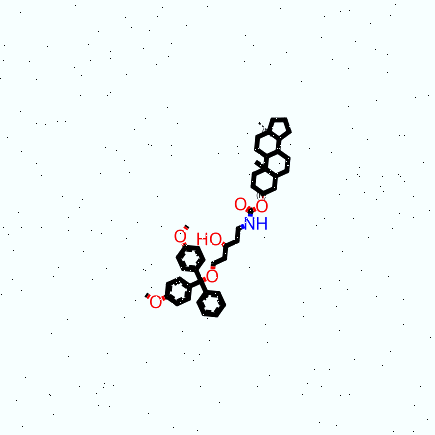 COc1ccc(C(OCCC(O)CCNC(=O)O[C@@H]2CCC3(C)C(CCC4C3CC[C@@]3(C)CCCC43)C2)(c2ccccc2)c2ccc(OC)cc2)cc1